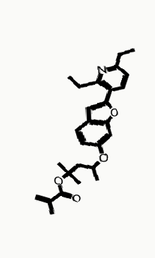 C=C(C)C(=O)OC(C)(C)CC(C)Oc1ccc2cc(-c3ccc(CC)nc3CC)oc2c1